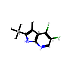 Cc1c([Si](C)(C)C)[nH]c2ncc(Br)c(F)c12